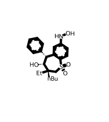 CCCC[C@]1(CC)CS(=O)(=O)c2ccc(NO)cc2[C@@H](c2ccccc2)[C@H]1O